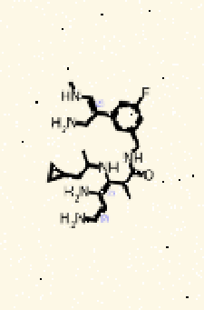 CN/C=C(\CN)c1cc(F)cc(CNC(=O)C(C)/C(NC(C)CC2CC2)=C(N)\C=C/N)c1